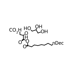 CCCCCCCCCCCCCCCCCC(=O)OC(=O)C(O)CC(=O)O.OCC(O)CO